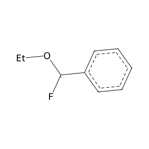 CCO[C](F)c1ccccc1